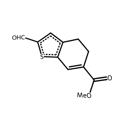 COC(=O)C1=Cc2sc(C=O)cc2CC1